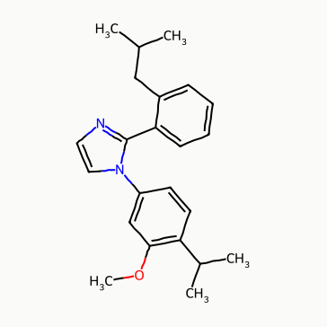 COc1cc(-n2ccnc2-c2ccccc2CC(C)C)ccc1C(C)C